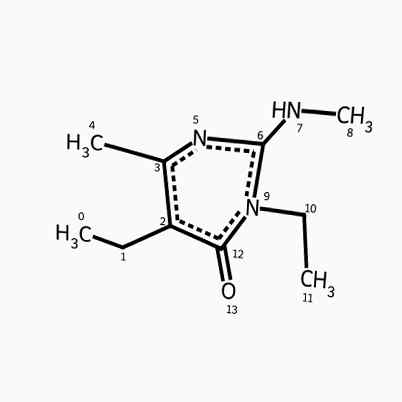 CCc1c(C)nc(NC)n(CC)c1=O